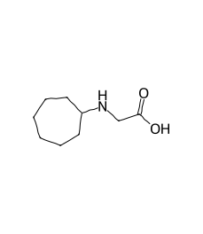 O=C(O)CNC1CCCCCC1